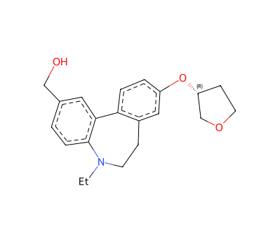 CCN1CCc2cc(O[C@@H]3CCOC3)ccc2-c2cc(CO)ccc21